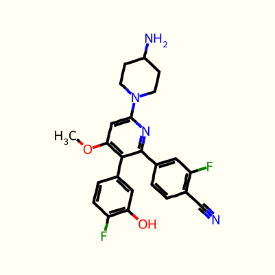 COc1cc(N2CCC(N)CC2)nc(-c2ccc(C#N)c(F)c2)c1-c1ccc(F)c(O)c1